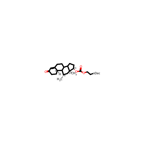 CCCCCCCCCCCCOC(=O)O[C@H]1CCC2C3CCC4=CC(=O)CC[C@@H]4C3[C@@H](C)C[C@@]21C